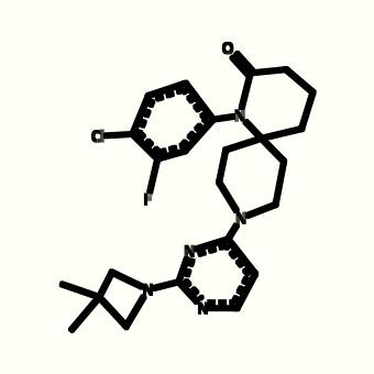 CC1(C)CN(c2nccc(N3CCC4(CCCC(=O)N4c4ccc(Cl)c(F)c4)CC3)n2)C1